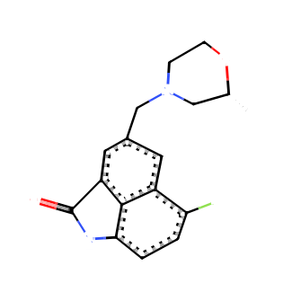 C[C@@H]1CN(Cc2cc3c4c(ccc(F)c4c2)NC3=O)CCO1